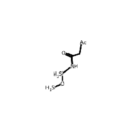 CC(=O)CC(=O)N[SiH2]O[SiH3]